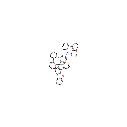 c1ccc(-c2ccccc2N(c2ccccc2)c2ccc3c(c2)-c2ccccc2-c2ccccc2C32c3ccccc3-c3c2ccc2c3oc3ccccc32)cc1